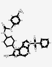 Cc1nc2cnc3c(ccn3S(=O)(=O)c3ccccc3)c2n1C1CCC(OC(=O)Oc2ccc([N+](=O)[O-])cc2)CC1